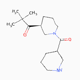 CC(C)(C)C(=O)[C@H]1CCCN(C(=O)C2CCCNC2)C1